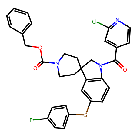 O=C(OCc1ccccc1)N1CCC2(CC1)CN(C(=O)c1ccnc(Cl)c1)c1ccc(Sc3ccc(F)cc3)cc12